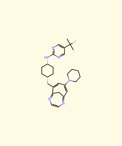 CC(C)(F)c1cnc(N[C@H]2CC[C@@H](CC3=CC(N4CCCCC4)=CC4=NC=CN=C3C4)CC2)nc1